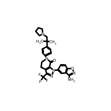 CC(C)(CN1CCCC1)c1ccc(N2CCc3c(C(F)(F)F)nn(-c4ccc5onc(N)c5c4)c3C2=O)cc1